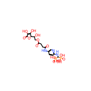 O=C(CCC(=O)OCC(O)C1OC(=O)C(O)=C1O)Nc1ccc(NC(P(=O)(O)O)P(=O)(O)O)nc1